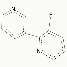 Fc1cccnc1-c1[c]nccc1